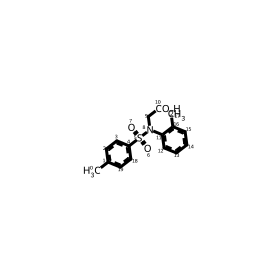 Cc1ccc(S(=O)(=O)N(CC(=O)O)c2ccccc2C)cc1